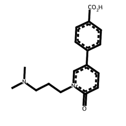 CN(C)CCCn1cc(-c2ccc(C(=O)O)cc2)ccc1=O